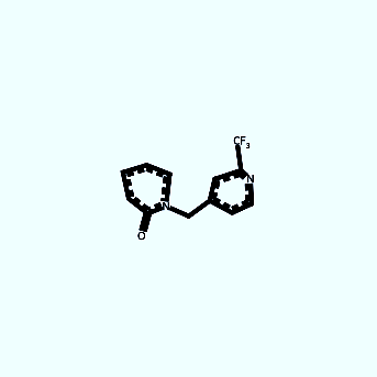 O=c1ccccn1Cc1ccnc(C(F)(F)F)c1